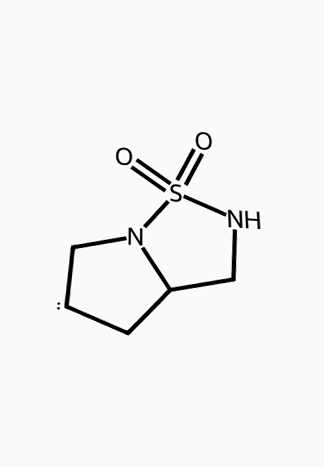 O=S1(=O)NCC2C[C]CN21